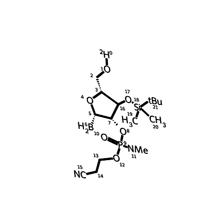 [2H]OC[C@H]1O[C@@H](B)[C@@H](OP(=O)(NC)OCCC#N)C1O[Si](C)(C)C(C)(C)C